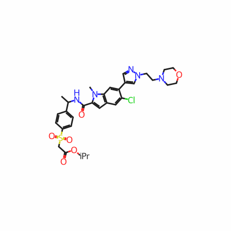 CC(C)OC(=O)CS(=O)(=O)c1ccc(C(C)NC(=O)c2cc3cc(Cl)c(-c4cnn(CCN5CCOCC5)c4)cc3n2C)cc1